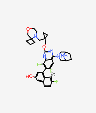 CCc1c(F)ccc2cc(O)cc(-c3c(F)cc4c(N5CC6CCC(C5)N6)nc(OCC5(CN6CCOCC67CCC7)CC5)nc4c3F)c12